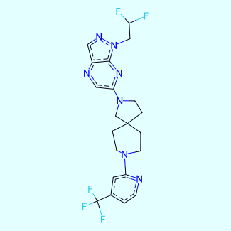 FC(F)Cn1ncc2ncc(N3CCC4(CCN(c5cc(C(F)(F)F)ccn5)CC4)C3)nc21